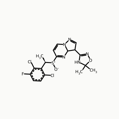 C[C@H](c1c(Cl)ccc(F)c1Cl)[S+]([O-])C1=NC2C(C3=NOC(C)(C)N3)C=NN2C=C1